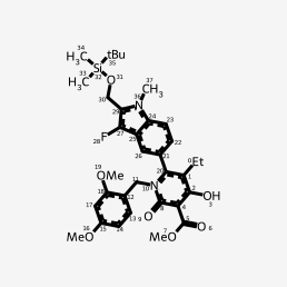 CCc1c(O)c(C(=O)OC)c(=O)n(Cc2ccc(OC)cc2OC)c1-c1ccc2c(c1)c(F)c(CO[Si](C)(C)C(C)(C)C)n2C